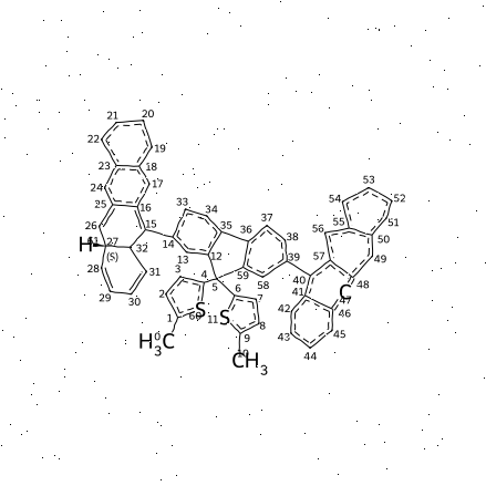 Cc1ccc(C2(c3ccc(C)s3)c3cc(C4=c5cc6ccccc6cc5=C[C@H]5C=CC=CC45)ccc3-c3ccc(-c4c5ccccc5cc5cc6ccccc6cc45)cc32)s1